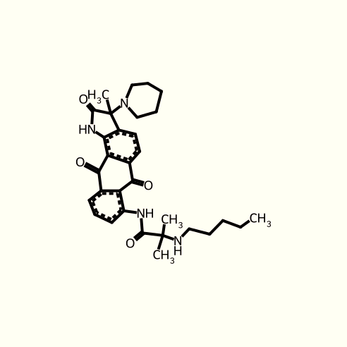 CCCCCNC(C)(C)C(=O)Nc1cccc2c1C(=O)c1ccc3c(c1C2=O)NC(=O)C3(C)N1CCCCC1